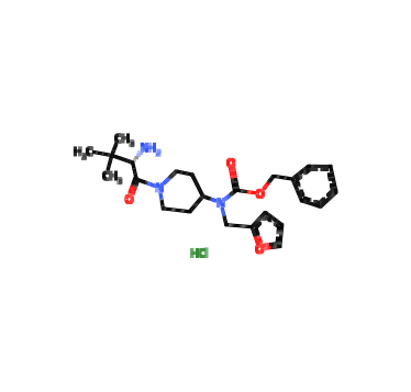 CC(C)(C)[C@H](N)C(=O)N1CCC(N(Cc2ccco2)C(=O)OCc2ccccc2)CC1.Cl